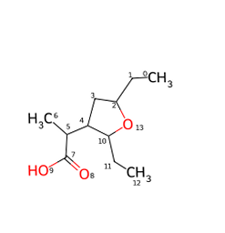 CCC1CC(C(C)C(=O)O)C(CC)O1